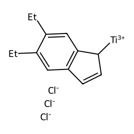 CCc1cc2c(cc1CC)[CH]([Ti+3])C=C2.[Cl-].[Cl-].[Cl-]